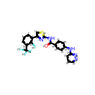 O=C(Nc1nc(-c2cccc(C(F)(F)F)c2F)cs1)c1ccc(Nc2cccnn2)cc1